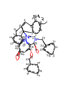 Bc1c(C)ccc2c1C=C1Cc3ccccc3C12N1CN(Cc2ccccc2)C(=O)c2c(OCc3ccccc3)c(=O)ccn21